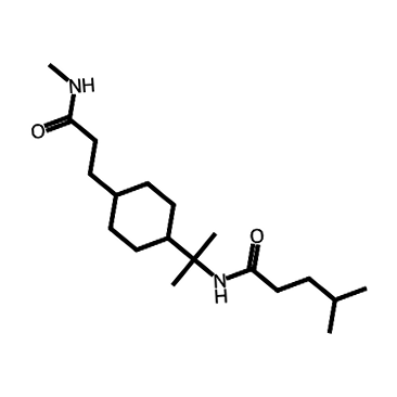 CNC(=O)CCC1CCC(C(C)(C)NC(=O)CCC(C)C)CC1